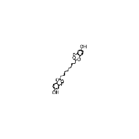 O=C(CCCCCCCCC(=O)Oc1ccc(O)cc1F)Oc1ccc(O)cc1F